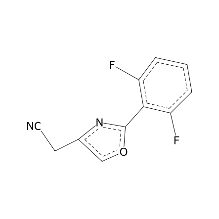 N#CCc1coc(-c2c(F)cccc2F)n1